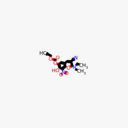 C#CCOC(=O)Oc1cc(C=C(C#N)C(=O)N(CC)CC)cc([N+](=O)[O-])c1O